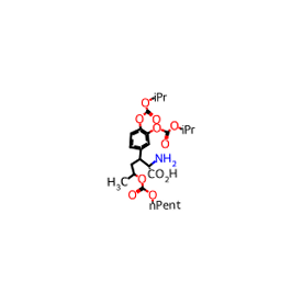 CCCCCOC(=O)OC(C)CC(c1ccc(OC(=O)OC(C)C)c(OC(=O)OC(C)C)c1)[C@H](N)C(=O)O